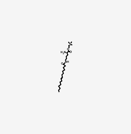 CCCCCCC/C=C/CCCCCCC(=O)NCCCC[C@H](N)C(=O)OCCS(C)(C)C